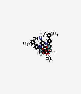 Cc1cc(C)cc(-c2ccc3c4ccc(-c5cc(C)cc(C)c5)cc4n(-c4cc(C#N)cc(-n5c6cc(-c7cc(C)cc(C)c7)ccc6c6ccc(-c7cc(C)cc(C)c7)cc65)c4-c4cc(C(F)(F)F)cc(C(F)(F)F)c4)c3c2)c1